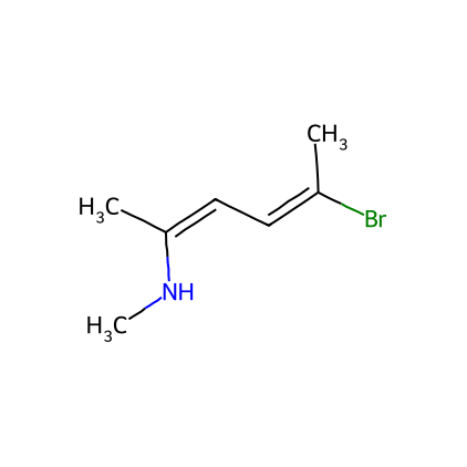 CN/C(C)=C\C=C(/C)Br